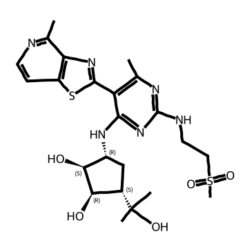 Cc1nc(NCCS(C)(=O)=O)nc(N[C@@H]2C[C@H](C(C)(C)O)[C@@H](O)[C@H]2O)c1-c1nc2c(C)nccc2s1